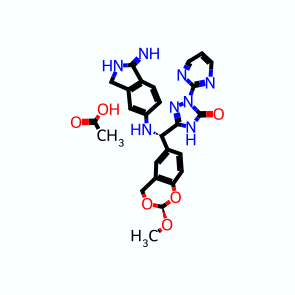 CC(=O)O.CO[C@H]1OCc2cc([C@H](Nc3ccc4c(c3)CNC4=N)c3nn(-c4ncccn4)c(=O)[nH]3)ccc2O1